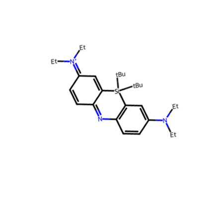 CCN(CC)c1ccc2c(c1)[Si](C(C)(C)C)(C(C)(C)C)C1=CC(=[N+](CC)CC)C=CC1=N2